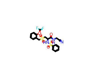 N#CCNC(=O)C(CS(=O)(=O)Cc1ccccc1OC(F)F)NS(=O)(=O)c1ccccc1